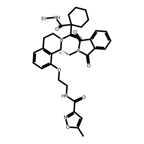 CCNC(=O)C1(C(=O)N2CCc3cccc(OCCNC(=O)c4cc(C)on4)c3[C@H]2CN2C(=O)c3ccccc3C2=O)CCCCC1